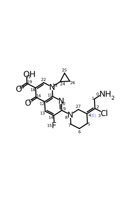 NC/C(Cl)=C1/CCCN(c2nc3c(cc2F)c(=O)c(C(=O)O)cn3C2CC2)C1